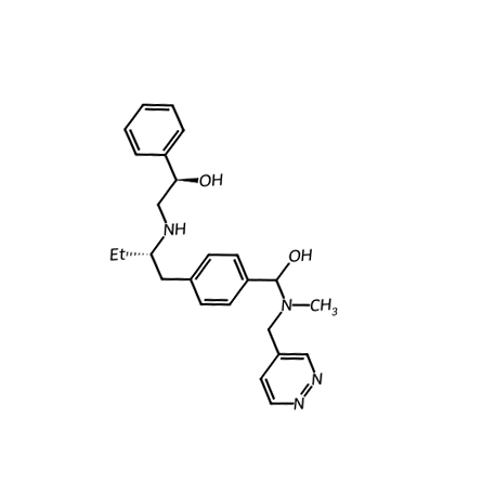 CC[C@@H](Cc1ccc(C(O)N(C)Cc2ccnnc2)cc1)NC[C@H](O)c1ccccc1